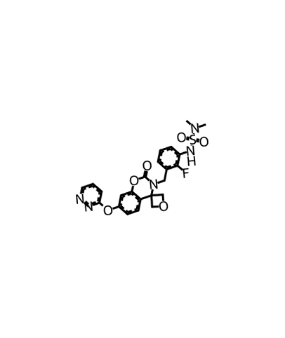 CN(C)S(=O)(=O)Nc1cccc(CN2C(=O)Oc3cc(Oc4cccnn4)ccc3C23COC3)c1F